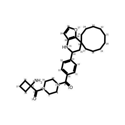 NC1(C(=O)N2CCN(C(=O)c3ccc(C4CC5(CCCCCCCCC5)c5occc5N4)cc3)CC2)CCC1